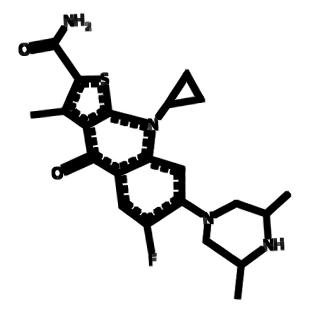 Cc1c(C(N)=O)sc2c1c(=O)c1cc(F)c(N3CC(C)NC(C)C3)cc1n2C1CC1